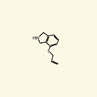 C=CCSc1cccc2c1CNC2